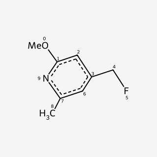 COc1cc(CF)cc(C)n1